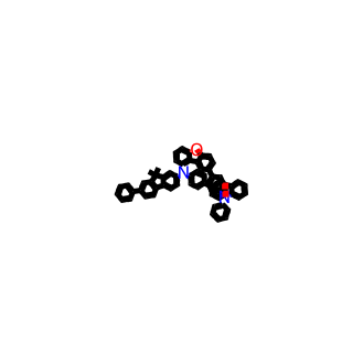 CC1(C)c2cc(-c3ccccc3)ccc2-c2ccc(N(c3ccc(-c4ccccc4)cc3)c3cccc4oc5ccc(-c6ccc7c(c6)c6ccccc6n7-c6ccccc6)cc5c34)cc21